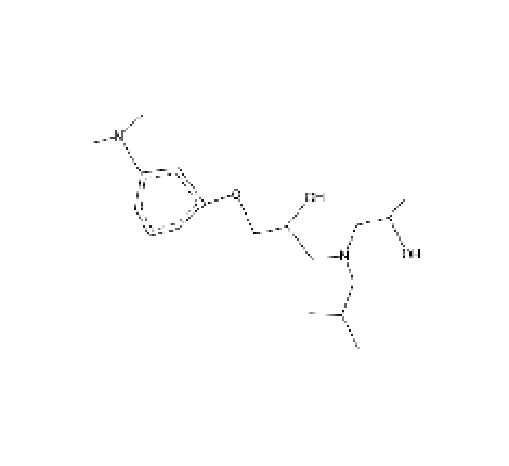 CC(C)CN(CC(C)O)CC(O)COc1cccc(N(C)C)c1